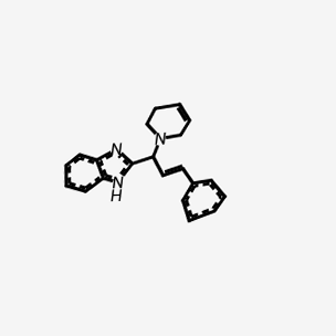 C1=CCN(C(C=Cc2ccccc2)c2nc3ccccc3[nH]2)CC1